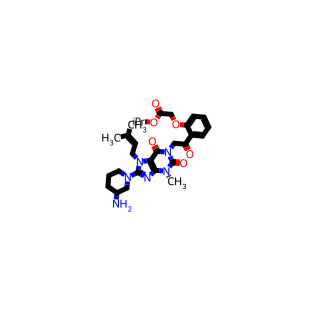 CC(C)=CCn1c(N2CCCC(N)C2)nc2c1c(=O)n(CC(=O)c1ccccc1OCC(=O)OC(C)C)c(=O)n2C